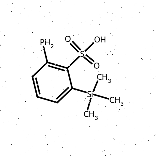 C[Si](C)(C)c1cccc(P)c1S(=O)(=O)O